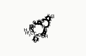 C[C@@H]1[C@@H](C)C[C@H](N2CCOCC2)C[C@@H](O)[C@@H]2CC[C@H]2CN2CCCCc3cc(Cl)ccc3COc3ccc(cc32)C(=O)NS1(=O)=O